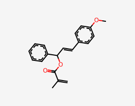 C=C(C)C(=O)OC(C=Cc1ccc(OC)cc1)c1ccccc1